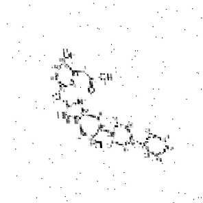 O=C(O)Cc1cc(Oc2nc3cc(-c4ccc(-c5ccccc5)cc4)c(Cl)cc3[nH]2)ccc1O